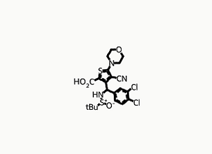 CC(C)(C)[S+]([O-])NC(c1ccc(Cl)c(Cl)c1)c1c(C(=O)O)sc(N2CCOCC2)c1C#N